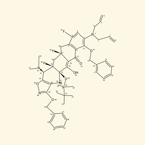 C=CCN(CC=C)c1cc(F)c2c(c1OCc1ccccc1)C(=O)C1=C(O)[C@]3(O[Si](C)(C)C(C)(C)C)C(=O)c4c(OCc5ccccc5)noc4[C@@H](N(C)C)[C@@H]3C[C@@H]1C2